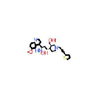 COc1ccc2nccc(C(CC[C@@H]3CCN(CC#Cc4cccs4)C[C@@H]3CO)NO)c2c1